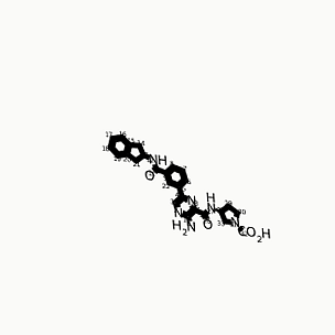 Nc1ncc(-c2cccc(C(=O)NC3Cc4ccccc4C3)c2)nc1C(=O)N[C@H]1CCN(C(=O)O)C1